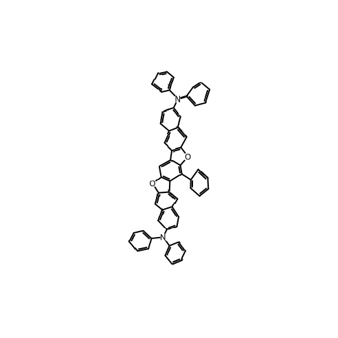 c1ccc(-c2c3oc4cc5cc(N(c6ccccc6)c6ccccc6)ccc5cc4c3cc3oc4cc5cc(N(c6ccccc6)c6ccccc6)ccc5cc4c23)cc1